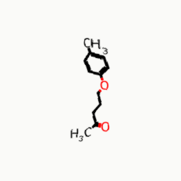 CC(=O)CCCOc1ccc(C)cc1